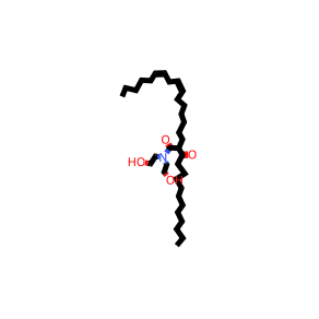 CCCCC/C=C\C/C=C\CCCCCCC(C(=O)CCCCCCCCCCC)C(=O)N(CCO)CCO